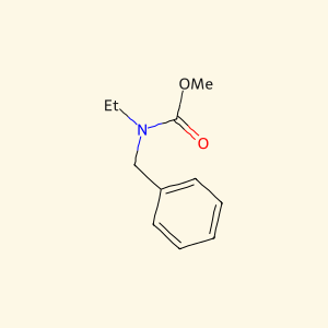 CCN(Cc1ccccc1)C(=O)OC